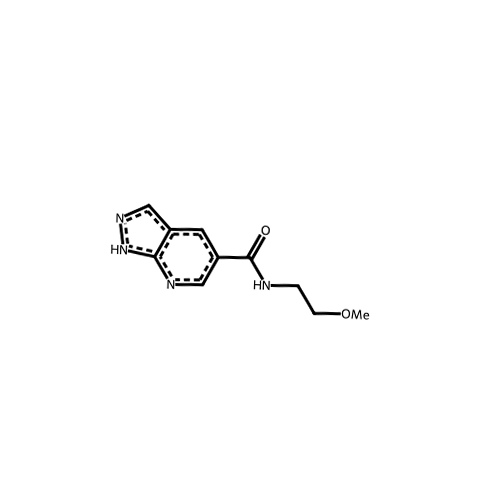 COCCNC(=O)c1cnc2[nH]ncc2c1